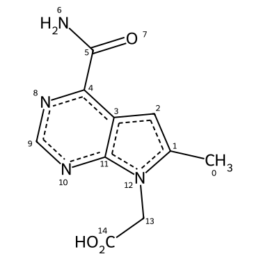 Cc1cc2c(C(N)=O)ncnc2n1CC(=O)O